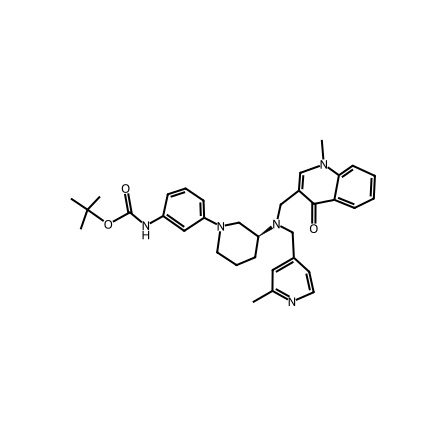 Cc1cc(CN(Cc2cn(C)c3ccccc3c2=O)[C@H]2CCCN(c3cccc(NC(=O)OC(C)(C)C)c3)C2)ccn1